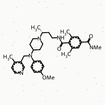 CNC(=O)c1cc(C)c(C(=O)NCC[C@@H](C)N2CCC(N(Cc3cnccc3C)c3ccc(OC)cc3)CC2)c(C)c1